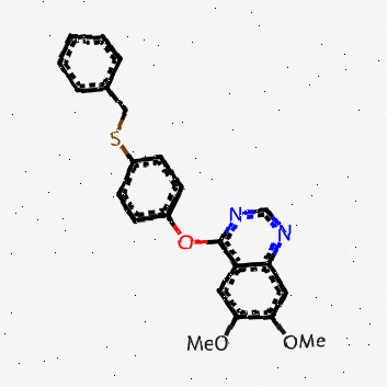 COc1cc2ncnc(Oc3ccc(SCc4ccccc4)cc3)c2cc1OC